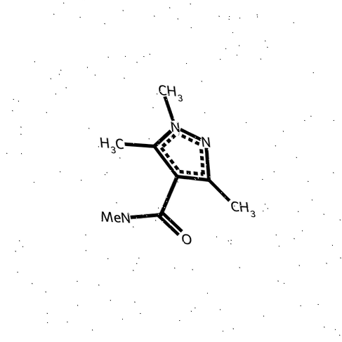 CNC(=O)c1c(C)nn(C)c1C